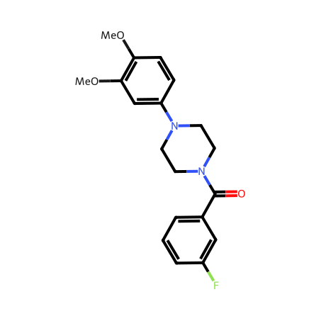 COc1ccc(N2CCN(C(=O)c3cccc(F)c3)CC2)cc1OC